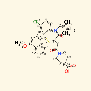 COc1ccc(C2SC(CC(=O)N3CCC(C(=O)O)CC3)C(=O)N(CC(C)(C)C)c3ccc(Cl)cc32)c2ccccc12